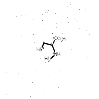 O=C(O)[C@H](CS)NP